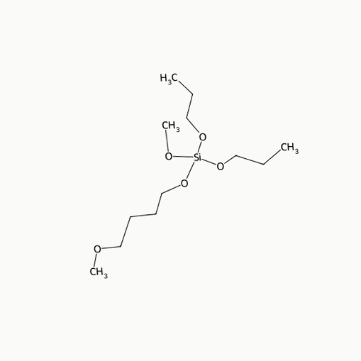 CCCO[Si](OC)(OCCC)OCCCCOC